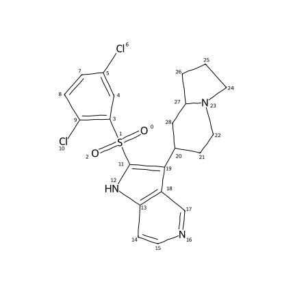 O=S(=O)(c1cc(Cl)ccc1Cl)c1[nH]c2ccncc2c1C1CCN2CCCC2C1